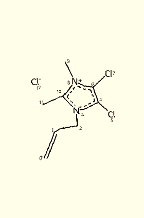 C=CCn1c(Cl)c(Cl)[n+](C)c1C.[Cl-]